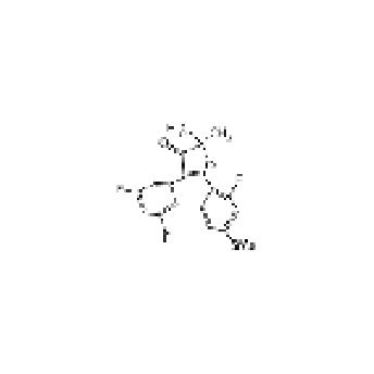 CSc1ccc(C2=C(c3cc(F)cc(F)c3)C(=O)C(C)(C)O2)c(F)c1